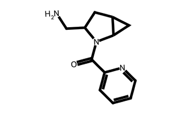 NCC1CC2CC2N1C(=O)c1ccccn1